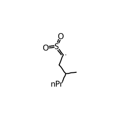 CCCC(C)C[C]=S(=O)=O